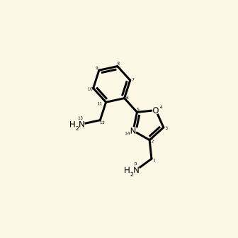 NCc1coc(-c2ccccc2CN)n1